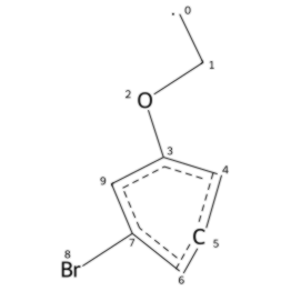 [CH2]COc1cccc(Br)c1